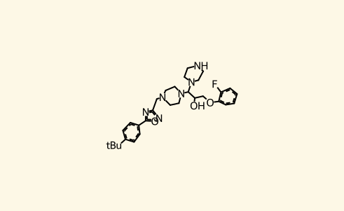 CC(C)(C)c1ccc(-c2nc(CN3CCN(C(C(O)COc4ccccc4F)N4CCNCC4)CC3)no2)cc1